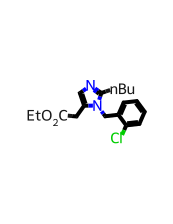 CCCCc1ncc(CC(=O)OCC)n1Cc1ccccc1Cl